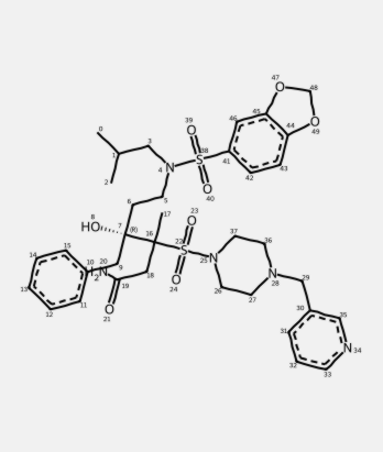 CC(C)CN(CC[C@](O)(Cc1ccccc1)C(C)(CC(N)=O)S(=O)(=O)N1CCN(Cc2cccnc2)CC1)S(=O)(=O)c1ccc2c(c1)OCO2